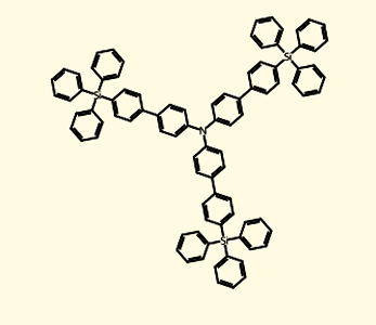 c1ccc([Si](c2ccccc2)(c2ccccc2)c2ccc(-c3ccc(N(c4ccc(-c5ccc([Si](c6ccccc6)(c6ccccc6)c6ccccc6)cc5)cc4)c4ccc(-c5ccc([Si](c6ccccc6)(c6ccccc6)c6ccccc6)cc5)cc4)cc3)cc2)cc1